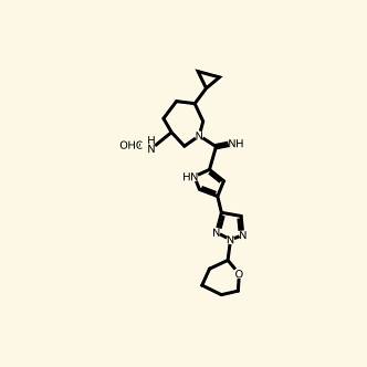 N=C(c1cc(-c2cnn(C3CCCCO3)n2)c[nH]1)N1CC(NC=O)CCC(C2CC2)C1